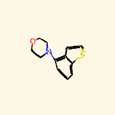 c1cc(N2CCOCC2)c2ccsc2c1